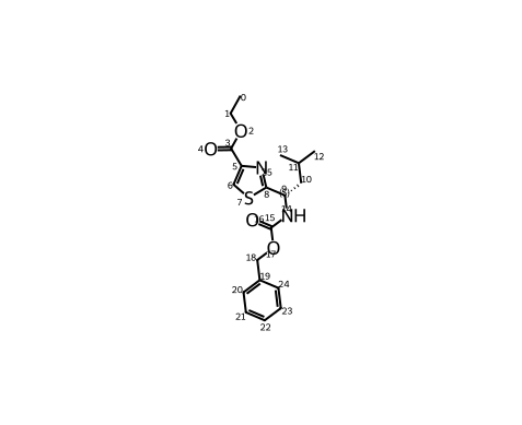 CCOC(=O)c1csc([C@H](CC(C)C)NC(=O)OCc2ccccc2)n1